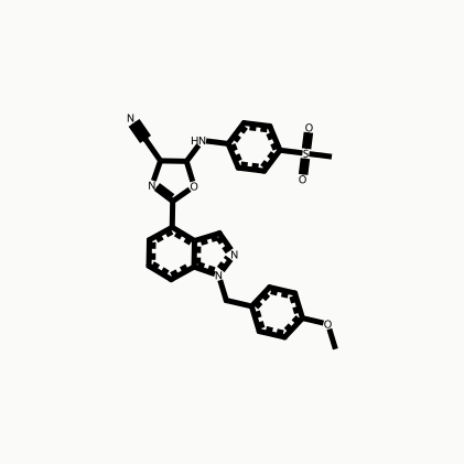 COc1ccc(Cn2ncc3c(C4=NC(C#N)C(Nc5ccc(S(C)(=O)=O)cc5)O4)cccc32)cc1